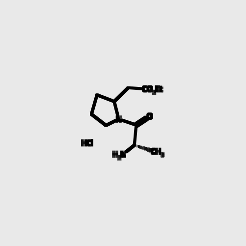 CCOC(=O)CC1CCCN1C(=O)[C@H](C)N.Cl